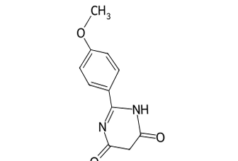 COc1ccc(C2=NC(=O)CC(=O)N2)cc1